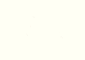 Cc1cc(C(=O)NCC(F)(F)F)ccc1-c1cc(NC(=O)C2CC2)nc2[nH]ccc12